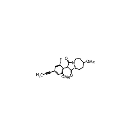 CC#Cc1cc(F)c(C2C(=O)N3CCC(OC)CCN3C2=O)c(OC)c1